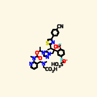 CC(OC(=O)N(C)c1ncccc1CN(C)CC(=O)O)[n+]1cnn(C[C@](O)(c2cc(F)ccc2F)[C@@H](C)c2nc(-c3ccc(C#N)cc3)cs2)c1.O=S(=O)([O-])O